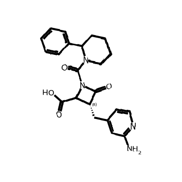 Nc1cc(C[C@H]2C(=O)N(C(=O)N3CCCCC3c3ccccc3)C2C(=O)O)ccn1